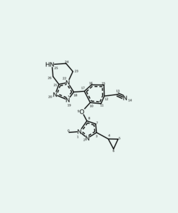 Cn1nc(C2CC2)cc1Oc1cc(C#N)ccc1-c1nnc2n1CCNC2